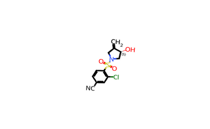 C=C1CN(S(=O)(=O)c2ccc(C#N)cc2Cl)C[C@H]1O